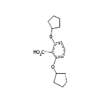 O=C(O)c1c(OC2CCCC2)cccc1OC1CCCC1